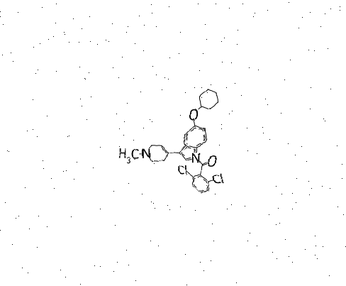 CN1CC=C(c2cn(C(=O)c3c(Cl)cccc3Cl)c3ccc(OC4CCCCC4)cc23)CC1